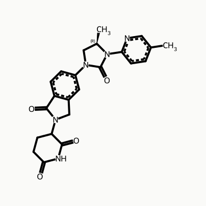 Cc1ccc(N2C(=O)N(c3ccc4c(c3)CN(C3CCC(=O)NC3=O)C4=O)C[C@H]2C)nc1